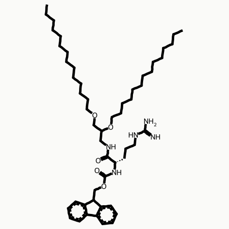 CCCCCCCCCCCCCCOCC(CNC(=O)[C@H](CCCNC(=N)N)NC(=O)OCC1c2ccccc2-c2ccccc21)OCCCCCCCCCCCCCC